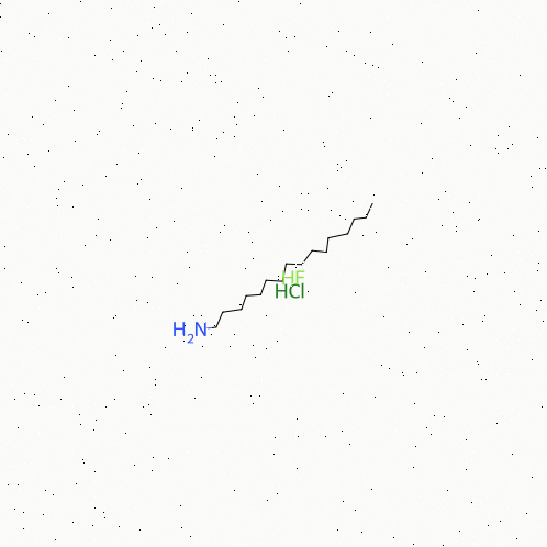 CCCCCCCCCCCCCCCCN.Cl.F